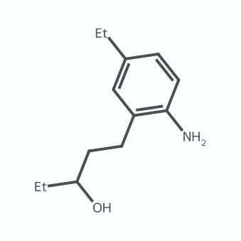 CCc1ccc(N)c(CCC(O)CC)c1